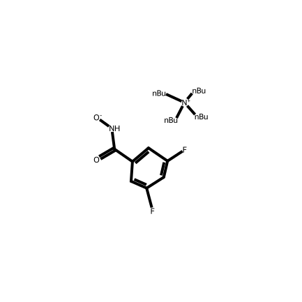 CCCC[N+](CCCC)(CCCC)CCCC.O=C(N[O-])c1cc(F)cc(F)c1